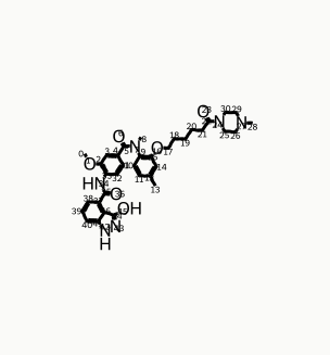 COc1cc(C(=O)N(C)c2ccc(C)cc2OCCCCCC(=O)N2CCN(C)CC2)ccc1NC(=O)c1cccc2[nH]nc(O)c12